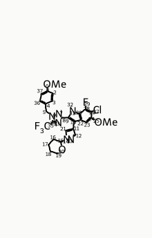 COc1ccc(Cn2nc(-c3c(-c4cnn(C5CCCCO5)c4)c4cc(OC)c(Cl)c(F)c4n3C)nc2C(F)(F)F)cc1